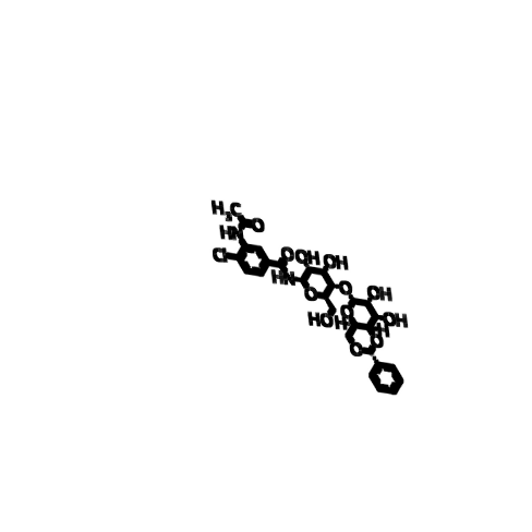 CC(=O)Nc1cc(C(=O)N[C@@H]2O[C@H](CO)[C@@H](O[C@H]3O[C@@H]4CO[C@@H](c5ccccc5)O[C@H]4[C@H](O)[C@H]3O)[C@H](O)[C@H]2O)ccc1Cl